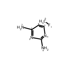 CF.Nc1ccnc(N)n1